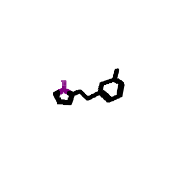 CC1C=CC=C(CCc2ccc[pH]2)C1